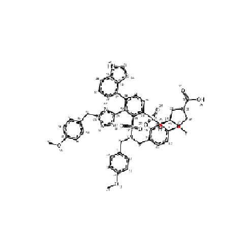 COc1ccc(CN(Cc2ccc(OC)cc2)S(=O)(=O)c2c(S(=O)(=O)N[C@@H]3CCN(C(=O)O)C3)ccc(-c3cccc4[nH]cnc34)c2-c2nnn(Cc3ccc(OC)cc3)n2)cc1